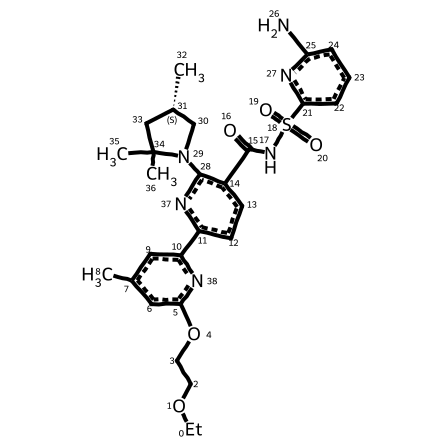 CCOCCOc1cc(C)cc(-c2ccc(C(=O)NS(=O)(=O)c3cccc(N)n3)c(N3C[C@@H](C)CC3(C)C)n2)n1